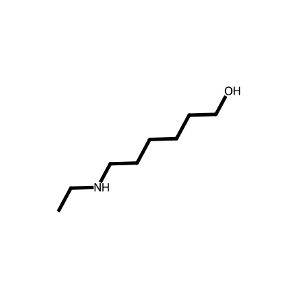 CCNCCCCCCO